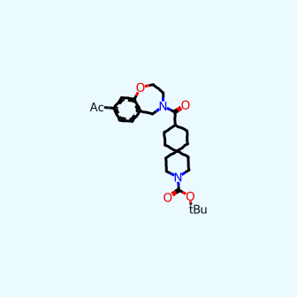 CC(=O)c1ccc2c(c1)OCCN(C(=O)C1CCC3(CC1)CCN(C(=O)OC(C)(C)C)CC3)C2